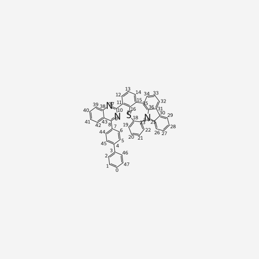 c1ccc(-c2ccc(-c3nc(-c4cccc5c4sc4ccccc4n4c6ccccc6c6cccc5c64)nc4ccccc34)cc2)cc1